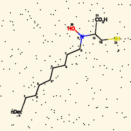 CCCCCCCCCCCCCCCCCCN(O)C(CS)C(=O)O